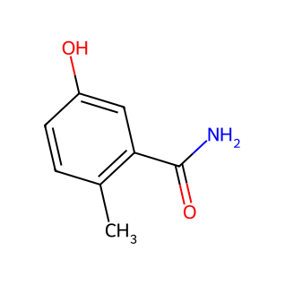 Cc1ccc(O)cc1C(N)=O